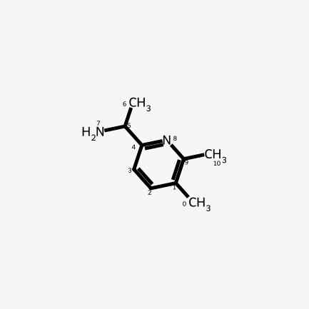 Cc1ccc(C(C)N)nc1C